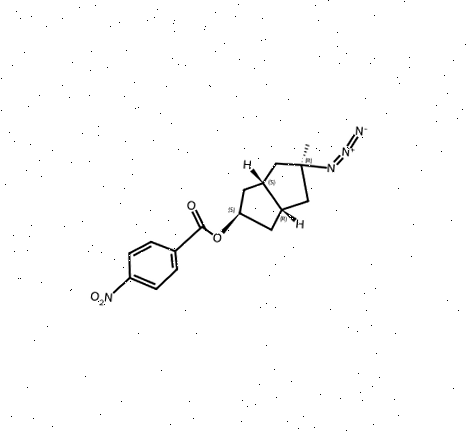 C[C@@]1(N=[N+]=[N-])C[C@H]2C[C@H](OC(=O)c3ccc([N+](=O)[O-])cc3)C[C@H]2C1